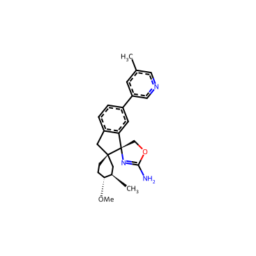 CO[C@@H]1CC[C@]2(Cc3ccc(-c4cncc(C)c4)cc3[C@@]23COC(N)=N3)C[C@H]1C